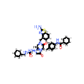 Nc1nc2c(CN3C[C@@H]4N(NC(=O)NCc5ccccc5)CC(=O)N4[C@@H](Cc4ccc(NC(=O)c5ccccc5)cc4)C3=O)cccc2s1